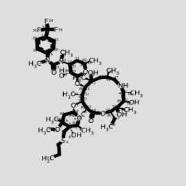 CCCSC[C@]1(O)[C@H](C)O[C@@H](O[C@H]2[C@H](C)[C@@H](O[C@@H]3O[C@H](C)C[C@H](N(C)C(=O)N(C)c4ccc(C(F)(F)F)cc4)[C@H]3O)[C@](C)(O)C[C@@H](C)CN[C@H](C)[C@@H](O)[C@](C)(O)[C@@H](CC)OC(=O)[C@@H]2C)C[C@@]1(C)OC